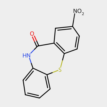 O=C1Nc2ccccc2Sc2ccc([N+](=O)[O-])cc21